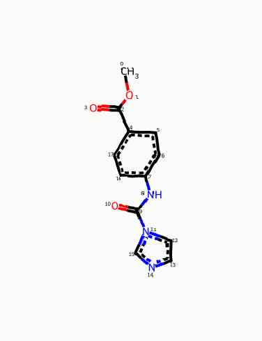 COC(=O)c1ccc(NC(=O)n2ccnc2)cc1